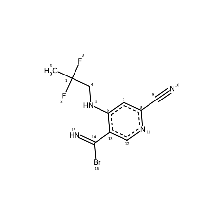 CC(F)(F)CNc1cc(C#N)ncc1C(=N)Br